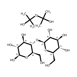 CC(C)(O)OC(C)(C)O.OC[C@H]1O[C@@H](O[C@H]2[C@H](O)[C@@H](O)[C@H](O)O[C@@H]2CO)[C@H](O)[C@@H](O)[C@@H]1O